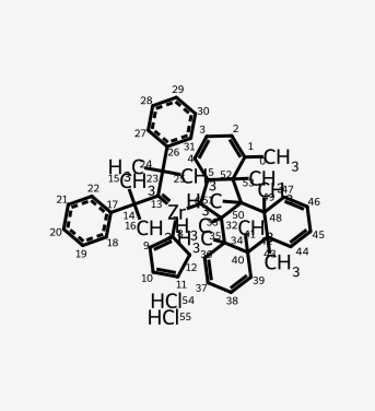 CC1=CC=CC2[CH]([Zr]([C]3=CC=CC3)=[C](C(C)(C)c3ccccc3)C(C)(C)c3ccccc3)C3(C)C4(C)C=CC=CC4(C)C4(C)C=CC=CC4(C)C3(C)C12C.Cl.Cl